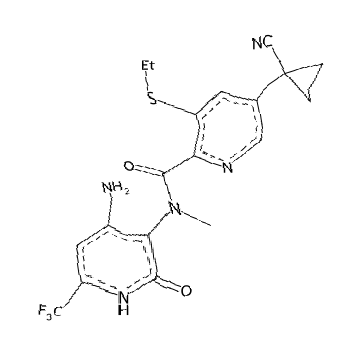 CCSc1cc(C2(C#N)CC2)cnc1C(=O)N(C)c1c(N)cc(C(F)(F)F)[nH]c1=O